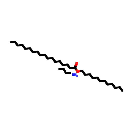 CCCC.CCCCCCCCCCCCCCCCCC(=O)OCCCCCCCCCCCC.N